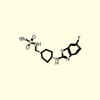 CC(C)(C)S(=O)(=O)NC[C@H]1CC[C@H](Nc2nc3ccc(F)cc3s2)CC1